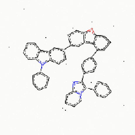 c1ccc(-c2c(-c3ccc(-c4cccc5oc6ccc(-c7ccc8c(c7)c7ccccc7n8-c7ccccc7)cc6c45)cc3)nc3ccccn23)cc1